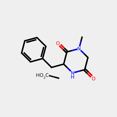 CC(=O)O.CN1CC(=O)NC(Cc2ccccc2)C1=O